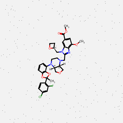 COC(=O)c1cc(OC)c2nc(CN3CCN(c4cccc5c4OC(C)(c4ccc(Cl)cc4F)O5)[C@H]4COC[C@H]43)n(C[C@@H]3CCO3)c2c1